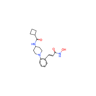 O=C(C=Cc1ccccc1N1CCC(NC(=O)C2CCC2)CC1)NO